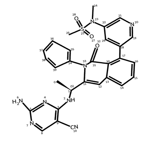 C[C@H](Nc1nc(N)ncc1C#N)c1cc2cccc(-c3cncc(N(C)S(C)(=O)=O)c3)c2c(=O)n1-c1ccccc1